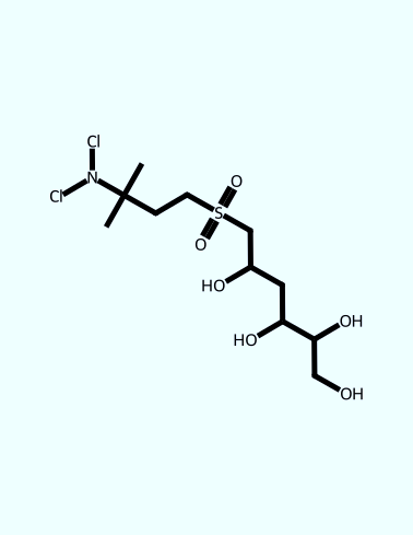 CC(C)(CCS(=O)(=O)CC(O)CC(O)C(O)CO)N(Cl)Cl